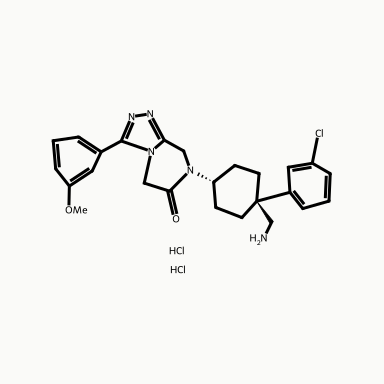 COc1cccc(-c2nnc3n2CC(=O)N([C@H]2CC[C@@](CN)(c4cccc(Cl)c4)CC2)C3)c1.Cl.Cl